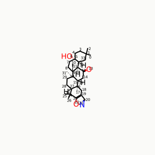 CC1(C)CC[C@]2(O)CC[C@]3(C)[C@H](C(=O)C[C@@H]4[C@@]5(C)Cc6cnoc6C(C)(C)[C@@H]5CC[C@]43C)[C@@H]2C1